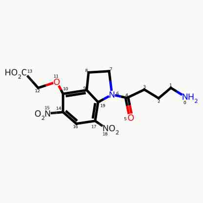 NCCCC(=O)N1CCc2c(OCC(=O)O)c([N+](=O)[O-])cc([N+](=O)[O-])c21